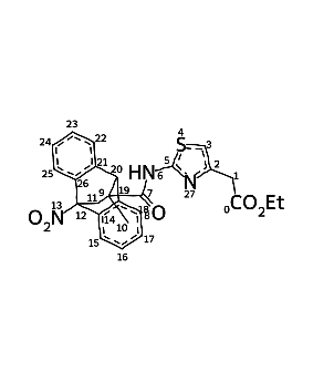 CCOC(=O)Cc1csc(NC(=O)C2(C)CC3([N+](=O)[O-])c4ccccc4C2c2ccccc23)n1